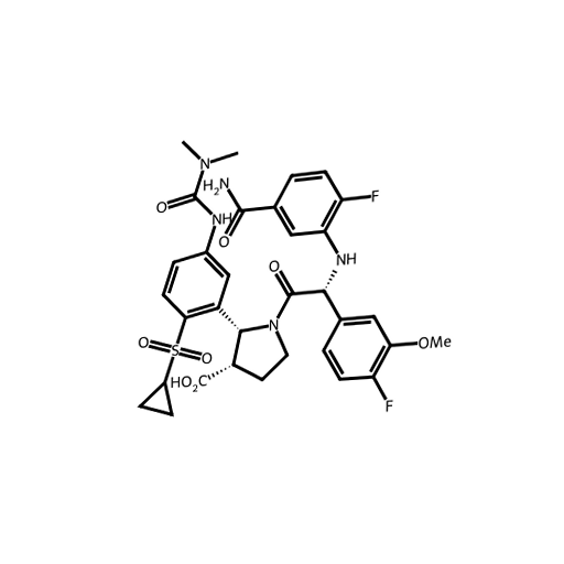 COc1cc([C@@H](Nc2cc(C(N)=O)ccc2F)C(=O)N2CC[C@H](C(=O)O)[C@@H]2c2cc(NC(=O)N(C)C)ccc2S(=O)(=O)C2CC2)ccc1F